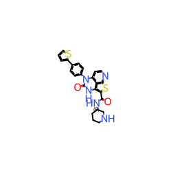 O=C(N[C@@H]1CCCNC1)c1sc2nccc3c2c1NC(=O)N3c1ccc(-c2cccs2)cc1